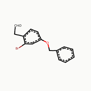 O=CCc1ccc(OCc2ccccc2)cc1Br